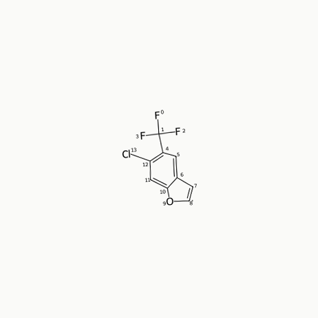 FC(F)(F)c1cc2c[c]oc2cc1Cl